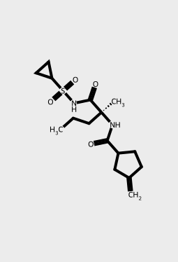 C=C1CCC(C(=O)N[C@@](C)(CCC)C(=O)NS(=O)(=O)C2CC2)C1